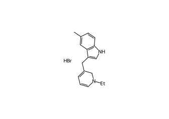 Br.CCN1C=CC=C(Cc2c[nH]c3ccc(C)cc23)C1